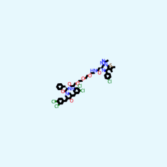 Cc1sc2c(c1C)C(c1ccc(Cl)cc1)=N[C@@H](CC(=O)NCCOCCOCCOCCC(=O)N[C@@H](Cc1ccccc1)C(=O)N1C/C(=C\c3ccc(Cl)c(Cl)c3)C(=O)/C(=C/c3ccc(Cl)c(Cl)c3)C1)c1nnc(C)n1-2